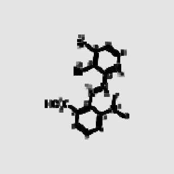 CN(C)c1cccc(C(=O)O)c1/N=N/c1nccc(Br)c1Br